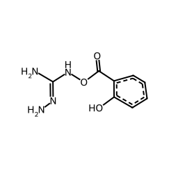 NN=C(N)NOC(=O)c1ccccc1O